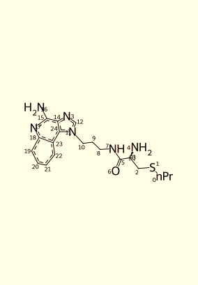 [CH2][CH]CSC[C@H](N)C(=O)NCCCn1cnc2c(N)nc3ccccc3c21